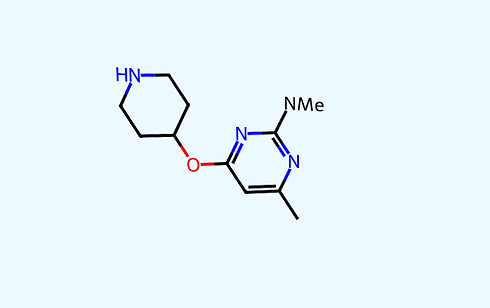 CNc1nc(C)cc(OC2CCNCC2)n1